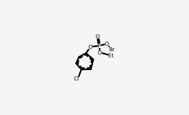 CCOP(=O)(OBr)Oc1ccc(Cl)cc1